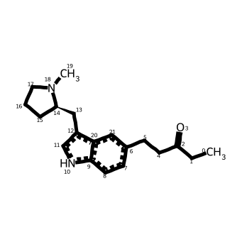 CCC(=O)CCc1ccc2[nH]cc(C[C@H]3CCCN3C)c2c1